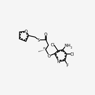 C[C@H](CC(=O)SCc1ccco1)Oc1nc(F)c(Cl)c(N)c1Cl